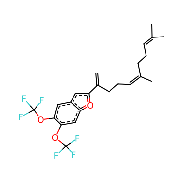 C=C(CCC=C(C)CCC=C(C)C)c1cc2cc(OC(F)(F)F)c(OC(F)(F)F)cc2o1